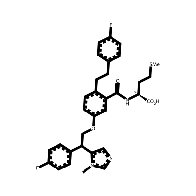 CSCC[C@H](NC(=O)c1cc(OCC(c2ccc(F)cc2)c2cncn2C)ccc1CCc1ccc(F)cc1)C(=O)O